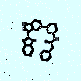 O=C(Cc1ccccc1)NC1C=NC=C(c2ccc3[nH]nc(-c4nc5ccncc5[nH]4)c3c2)C1